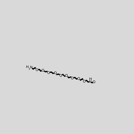 NCCOCCOCCOCCOCCOCCOCCOCCOCCOCCNC=O